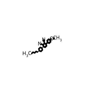 CCCCCC[C@H]1CC[C@H](c2ccc(-c3ccc(OCC)cc3)c(C#N)c2C#N)CC1